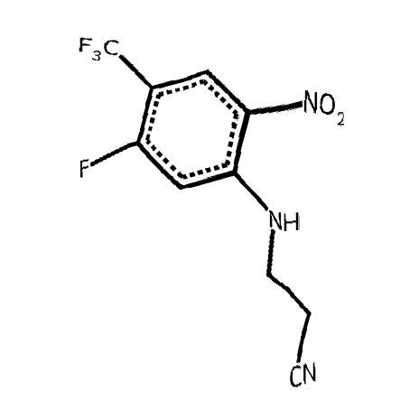 N#CCCNc1cc(F)c(C(F)(F)F)cc1[N+](=O)[O-]